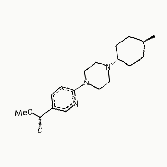 COC(=O)c1ccc(N2CCN([C@H]3CC[C@H](C)CC3)CC2)nc1